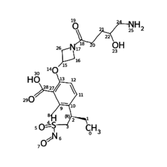 CC[C@H]1C[SH](=O)(N=O)Cc2c1ccc(OC1CN(C(=O)CCC(O)CN)C1)c2C(=O)O